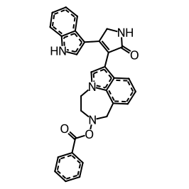 O=C1NCC(c2c[nH]c3ccccc23)=C1c1cn2c3c(cccc13)CN(OC(=O)c1ccccc1)CC2